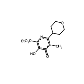 CCOC(=O)c1nc(C2CCOCC2)n(C)c(=O)c1O